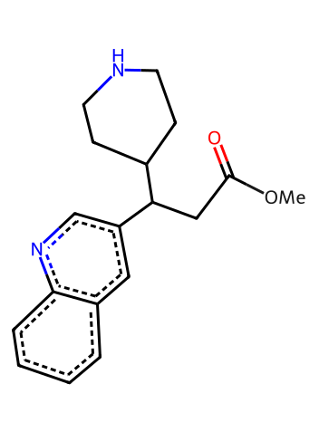 COC(=O)CC(c1cnc2ccccc2c1)C1CCNCC1